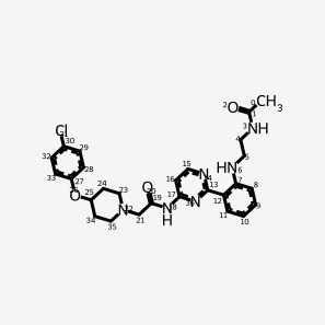 CC(=O)NCCNc1ccccc1-c1nccc(NC(=O)CN2CCC(Oc3ccc(Cl)cc3)CC2)n1